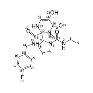 CCNC(=O)N1CCCC1C1(C(=O)NCc2ccc(F)cc2)NC=C(O)C(=O)N1C